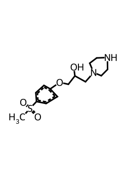 CS(=O)(=O)c1ccc(OCC(O)CN2CCNCC2)cc1